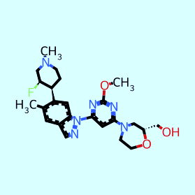 COc1nc(N2CCO[C@@H](CO)C2)cc(-n2ncc3cc(C)c([C@@H]4CCN(C)C[C@@H]4F)cc32)n1